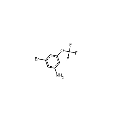 Nc1cc(Br)cc(OC(F)(F)F)c1